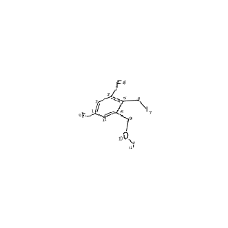 Fc1cc(F)c(CI)c(COI)c1